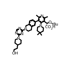 Cc1nc(C)c([C@H](OC(C)(C)C)C(=O)O)c(N2CCC(C)(C)CC2)c1-c1ccc2c(c1)CCN(c1ncnc(N3CCC(CCO)CC3)n1)C2